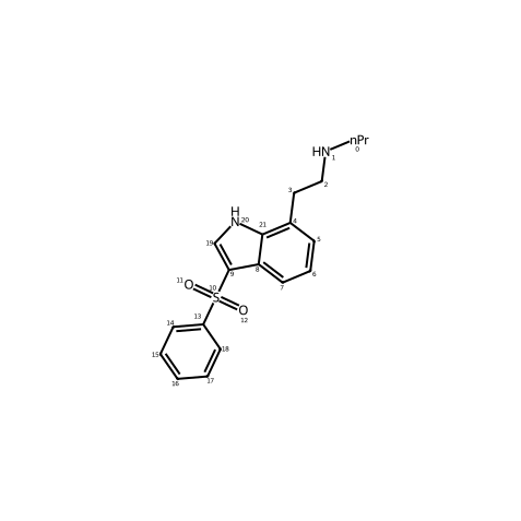 CCCNCCc1cccc2c(S(=O)(=O)c3ccccc3)c[nH]c12